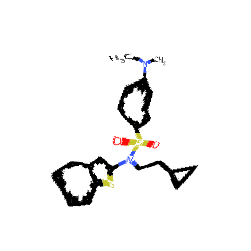 CN(C)c1ccc(S(=O)(=O)N(CCC2CC2)c2cc3ccccc3s2)cc1